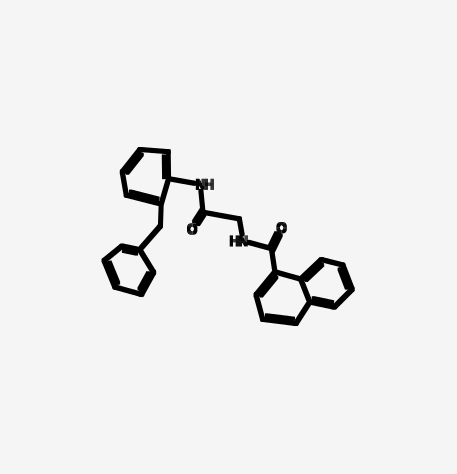 O=C(CNC(=O)c1cccc2ccccc12)Nc1ccccc1Cc1ccccc1